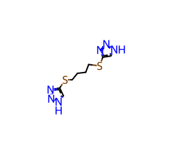 c1[nH]nnc1SCCCCSc1c[nH]nn1